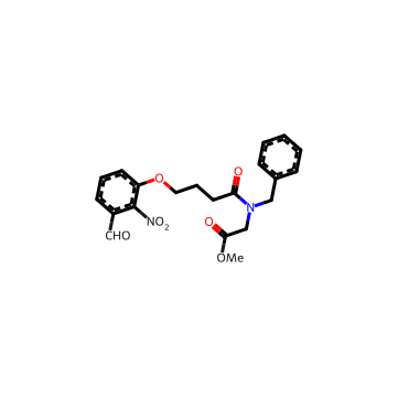 COC(=O)CN(Cc1ccccc1)C(=O)CCCOc1cccc(C=O)c1[N+](=O)[O-]